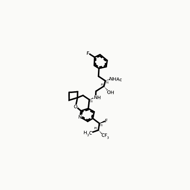 CC(=O)N[C@@H](Cc1cccc(F)c1)[C@H](O)CN[C@H]1CC2(CCC2)Oc2ncc([C@@H](F)[C@@H](C)C(F)(F)F)cc21